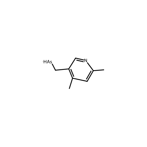 Cc1cc(C)c(C[AsH])cn1